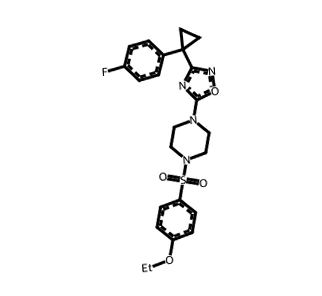 CCOc1ccc(S(=O)(=O)N2CCN(c3nc(C4(c5ccc(F)cc5)CC4)no3)CC2)cc1